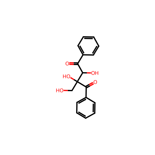 O=C(c1ccccc1)C(O)C(O)(CO)C(=O)c1ccccc1